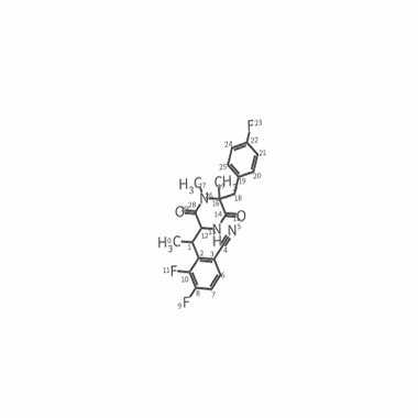 CC(c1c(C#N)ccc(F)c1F)C1NC(=O)C(C)(Cc2ccc(F)cc2)N(C)C1=O